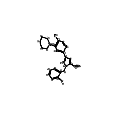 COc1cc(-c2ncc(F)c(N3CCCCC3)n2)nn1Cc1ccccc1F